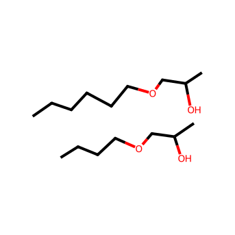 CCCCCCOCC(C)O.CCCCOCC(C)O